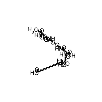 CCCC(=O)C(CSCC(=O)NCCOCCOCCNC(=O)CCC(NC(=O)CCC(NC(=O)CCCCCCCCCCCCCCC(=O)O)C(=O)O)C(=O)O)NC